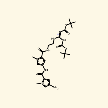 Cn1cc(NC(=O)c2cc(N)cn2C)cc1C(=O)NCCN/C(=N/C(=O)OC(C)(C)C)NC(=O)OC(C)(C)C